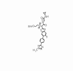 COCCS(=O)(=O)C(C(=O)NCC(=O)NC1CC1)c1nc2cc(F)c(-c3ccc(-c4nnn(C)n4)cc3)cc2s1